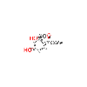 COC(=O)c1ccc(O)cc1.O=NO